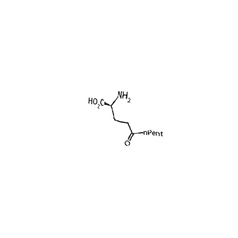 CCCCCC(=O)CC[C@H](N)C(=O)O